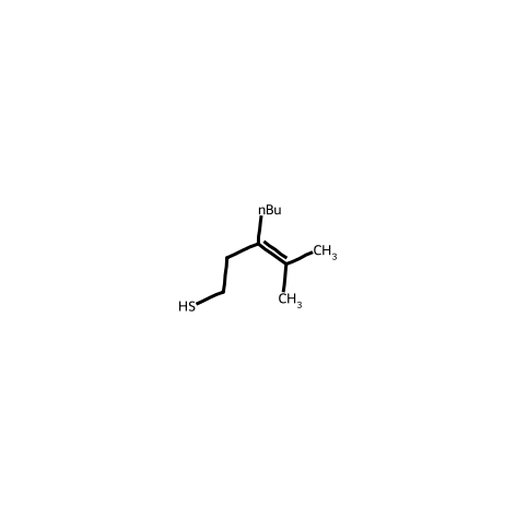 CCCCC(CCS)=C(C)C